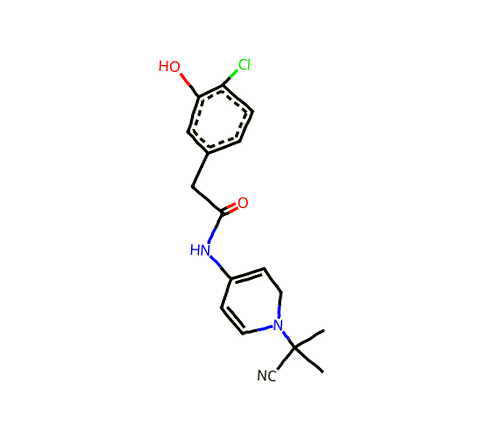 CC(C)(C#N)N1C=CC(NC(=O)Cc2ccc(Cl)c(O)c2)=CC1